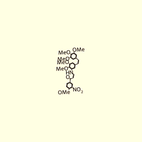 COc1ccc(C(=O)/C=C\Nc2cc(/C=C\c3cc(OC)c(OC)c(OC)c3)cc(OC)c2OC)cc1[N+](=O)[O-]